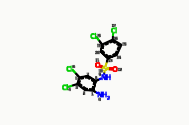 Nc1cc(Cl)c(Cl)cc1NS(=O)(=O)c1ccc(Cl)c(Cl)c1